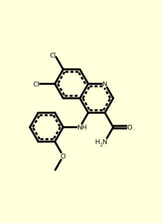 COc1ccccc1Nc1c(C(N)=O)cnc2cc(Cl)c(Cl)cc12